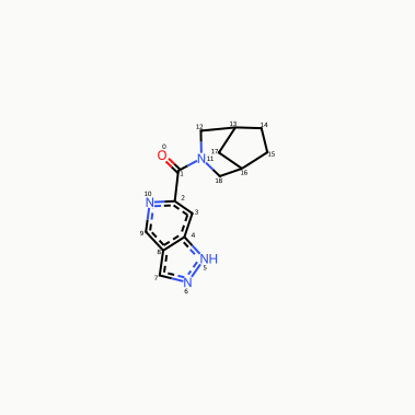 O=C(c1cc2[nH]ncc2cn1)N1CC2CCC(C2)C1